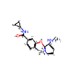 CNc1cccnc1Oc1cc(C(=O)NC2CC2)ccc1C